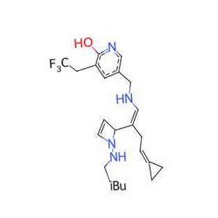 CCC(C)CNN1C=CC1/C(=C\NCc1cnc(O)c(CC(F)(F)F)c1)CC=C1CC1